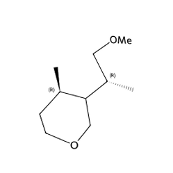 COC[C@H](C)C1COCC[C@H]1C